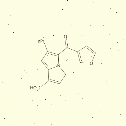 CCCc1cc2n(c1C(=O)c1ccoc1)CC=C2C(=O)O